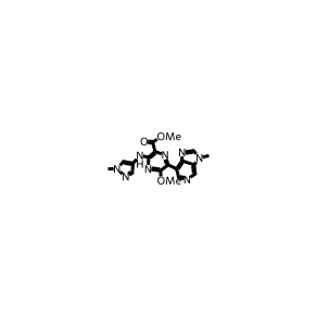 COC(=O)c1nc(-c2cncc3c2ncn3C)c(OC)nc1Nc1cnn(C)c1